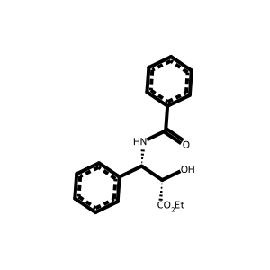 CCOC(=O)[C@@H](O)[C@@H](NC(=O)c1ccccc1)c1ccccc1